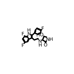 O=C1NC[C@@H](O)[C@@H]1NCCc1c(-c2ccc(F)cc2)[nH]c2c(F)cc(F)cc12